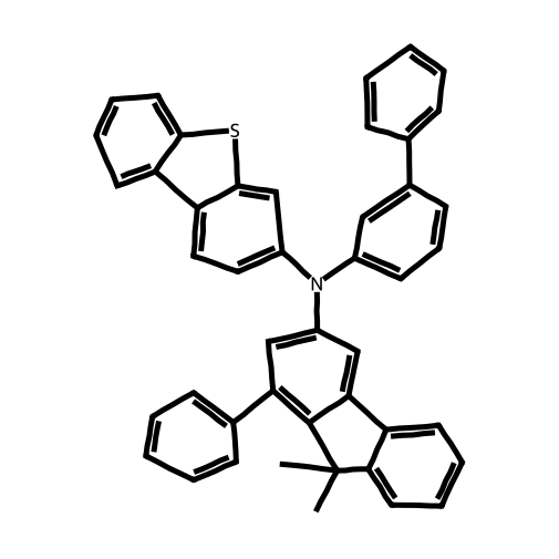 CC1(C)c2ccccc2-c2cc(N(c3cccc(-c4ccccc4)c3)c3ccc4c(c3)sc3ccccc34)cc(-c3ccccc3)c21